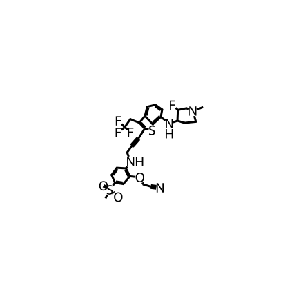 CN1CCC(Nc2cccc3c(CC(F)(F)F)c(C#CCNc4ccc(S(C)(=O)=O)cc4OCC#N)sc23)C(F)C1